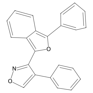 c1ccc(-c2conc2-c2oc(-c3ccccc3)c3ccccc23)cc1